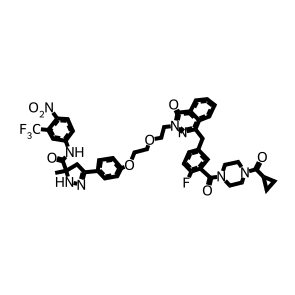 CC1(C(=O)Nc2ccc([N+](=O)[O-])c(C(F)(F)F)c2)CC(c2ccc(OCCOCCn3nc(Cc4ccc(F)c(C(=O)N5CCN(C(=O)C6CC6)CC5)c4)c4ccccc4c3=O)cc2)=NN1